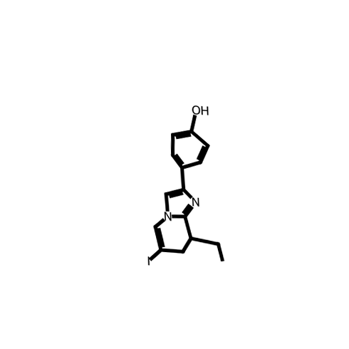 CCC1CC(I)=Cn2cc(-c3ccc(O)cc3)nc21